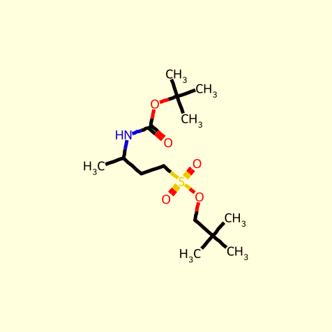 CC(CCS(=O)(=O)OCC(C)(C)C)NC(=O)OC(C)(C)C